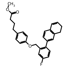 COC(=O)CCCc1ccc(OCc2cc(F)ccc2-c2ccc3c(c2)CCC=C3)cc1